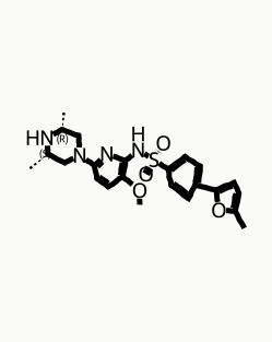 COc1ccc(N2C[C@@H](C)N[C@@H](C)C2)nc1NS(=O)(=O)c1ccc(-c2ccc(C)o2)cc1